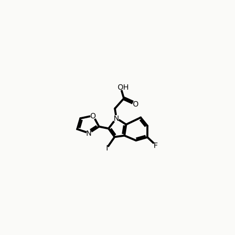 O=C(O)Cn1c(-c2ncco2)c(I)c2cc(F)ccc21